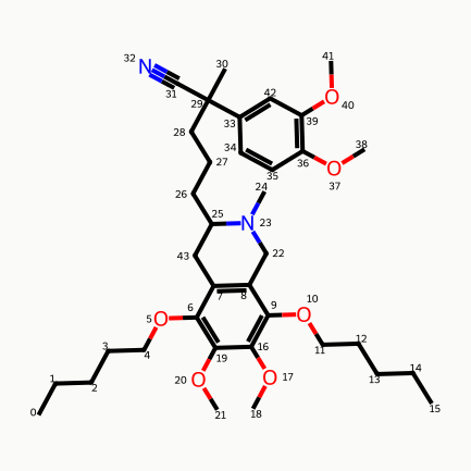 CCCCCOc1c2c(c(OCCCCC)c(OC)c1OC)CN(C)C(CCCC(C)(C#N)c1ccc(OC)c(OC)c1)C2